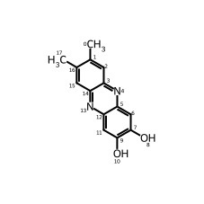 Cc1cc2nc3cc(O)c(O)cc3nc2cc1C